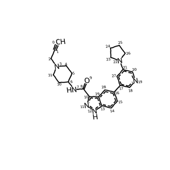 C#CCN1CCC(NC(=O)c2n[nH]c3ccc(-c4cncc(N5CCCC5)c4)cc23)CC1